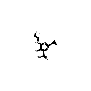 CCCNc1nc(C2CC2)nc(C(=O)O)c1Cl